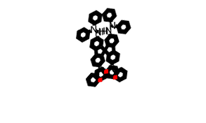 c1ccc(N(Nc2ccc3c(c2)C2(c4cc(NN(c5ccccc5)c5ccccc5)ccc4-c4ccc(N(c5ccccc5)c5ccccc5)cc42)c2cc(N(c4ccccc4)c4ccccc4)ccc2-3)c2ccccc2)cc1